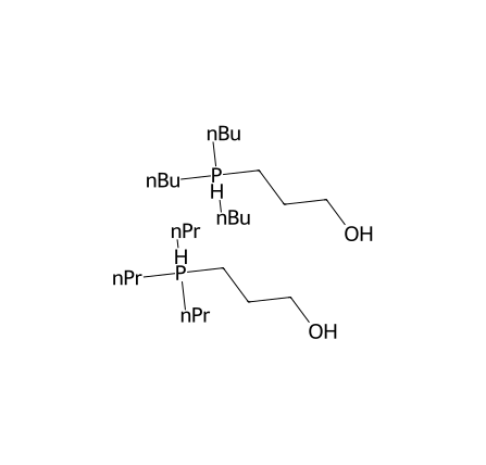 CCCC[PH](CCCC)(CCCC)CCCO.CCC[PH](CCC)(CCC)CCCO